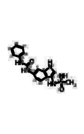 CS(=N)(=O)Nc1c[nH]c2cc(NC(=O)Nc3ccccc3)ccc12